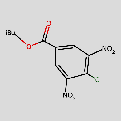 CCC(C)OC(=O)c1cc([N+](=O)[O-])c(Cl)c([N+](=O)[O-])c1